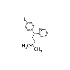 CN(C)CCC(c1ccc(I)cc1)c1ccccn1